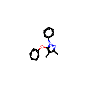 Cc1nn(-c2ccccc2)c(Oc2ccccc2)c1C